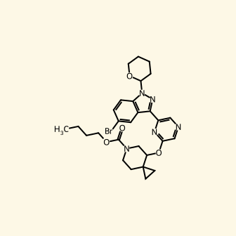 CCCCOC(=O)N1CCC2(CC2)C(Oc2cncc(-c3nn(C4CCCCO4)c4ccc(Br)cc34)n2)C1